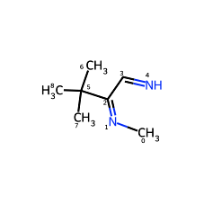 C/N=C(\C=N)C(C)(C)C